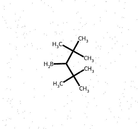 BC(C(C)(C)C)C(C)(C)C